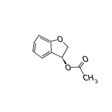 CC(=O)O[C@@H]1COc2ccccc21